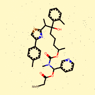 CNCC(=O)OC(c1cccnc1)N(C)C(=O)OC(C)CCCC(O)(c1ccccc1C)C(C)c1nc(-c2ccc(C)cc2)cs1